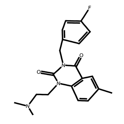 Cc1ccc2c(c1)c(=O)n(Cc1ccc(F)cc1)c(=O)n2CCN(C)C